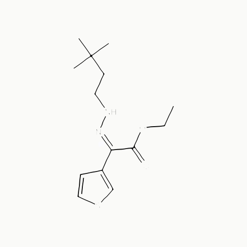 CCOC(=O)/C(=N\NCCC(C)(C)C)c1ccsc1